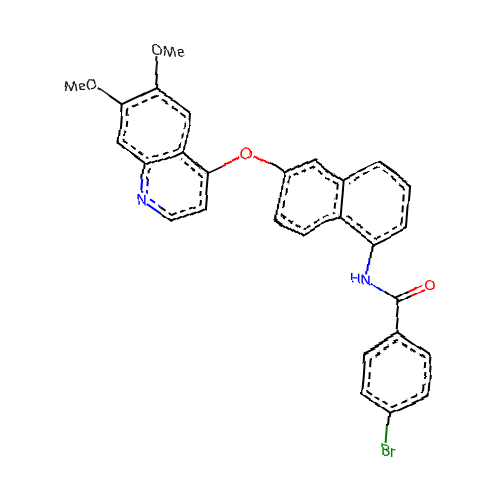 COc1cc2nccc(Oc3ccc4c(NC(=O)c5ccc(Br)cc5)cccc4c3)c2cc1OC